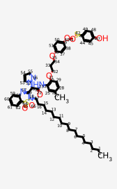 CCCCCCCCCCCCCCCCCCN1C(C(C(=O)Nc2cc(C)ccc2OCCCOc2ccc(OOSc3ccc(O)cc3)cc2)n2cccn2)=Nc2ccccc2S1(=O)=O